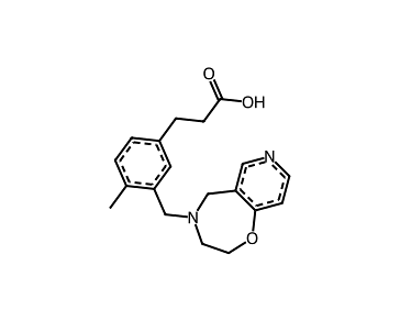 Cc1ccc(CCC(=O)O)cc1CN1CCOc2ccncc2C1